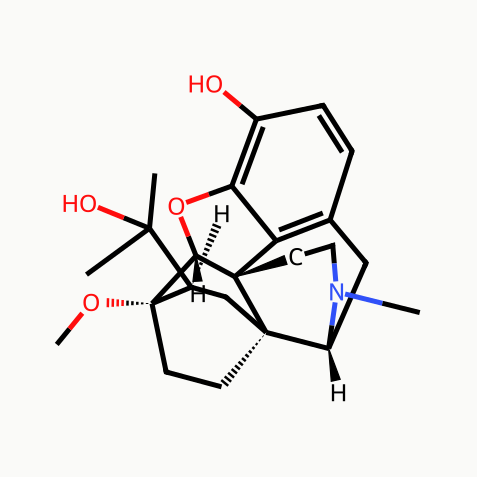 CO[C@@]12CC[C@@]3(C[C@@H]1C(C)(C)O)[C@H]1Cc4ccc(O)c5c4[C@@]3(CCN1C)[C@H]2O5